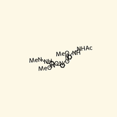 CNCCNCc1ccc(OCc2cccc(COc3ccc(CNCCNC(C)=O)c(OC)n3)n2)nc1OC